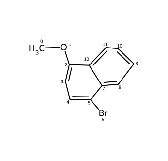 COc1ccc(Br)c2ccccc12